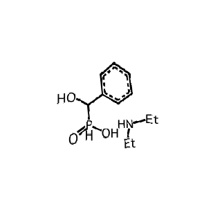 CCNCC.O=[PH](O)C(O)c1ccccc1